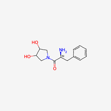 N[C@@H](Cc1ccccc1)C(=O)N1CC(O)C(O)C1